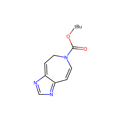 CC(C)(C)OC(=O)N1C=CC2=NC=NC2=CC1